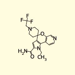 CCn1c(C(N)=O)cc2c1-c1ccncc1OC21CCN(CC(F)(F)F)CC1